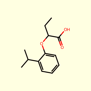 CCC(Oc1ccccc1C(C)C)C(=O)O